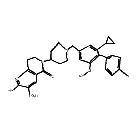 CCCOc1cc(CN2CCC(N3CCc4nc(CCC)c(C(=O)O)cc4C3=O)CC2)cc(C2CC2)c1-c1ccc(F)cc1